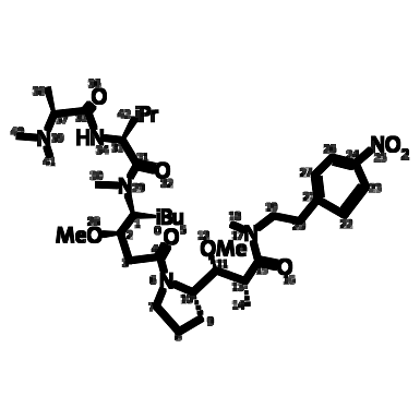 CC[C@H](C)[C@@H]([C@@H](CC(=O)N1CCC[C@H]1[C@H](OC)[C@@H](C)C(=O)N(C)CCc1ccc([N+](=O)[O-])cc1)OC)N(C)C(=O)[C@@H](NC(=O)[C@H](C)N(C)C)C(C)C